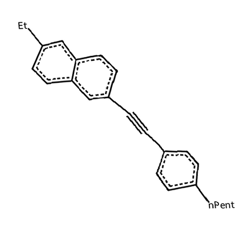 CCCCCc1ccc(C#Cc2ccc3cc(CC)ccc3c2)cc1